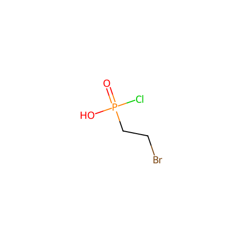 O=P(O)(Cl)CCBr